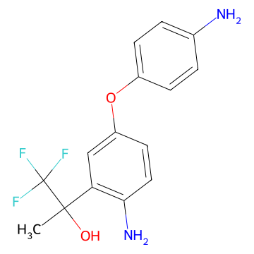 CC(O)(c1cc(Oc2ccc(N)cc2)ccc1N)C(F)(F)F